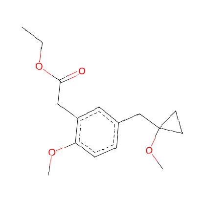 CCOC(=O)Cc1cc(CC2(OC)CC2)ccc1OC